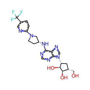 OC[C@H]1C[C@@H](n2cnc3c(N[C@@H]4CCN(c5ccc(C(F)(F)F)cn5)C4)ncnc32)[C@H](O)[C@@H]1O